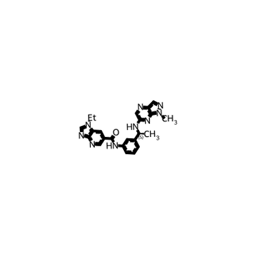 CCn1cnc2ncc(C(=O)Nc3cccc([C@H](C)Nc4cnc5cnn(C)c5n4)c3)cc21